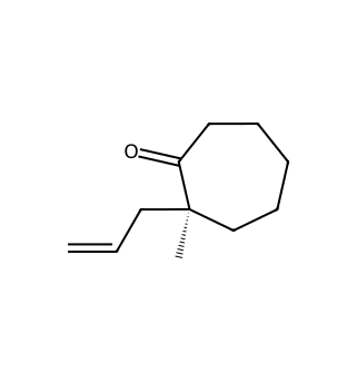 C=CC[C@]1(C)CCCCCC1=O